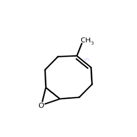 C/C1=C/CCC2OC2CC1